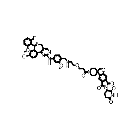 COc1cc(Nc2ncc3c(n2)-c2ccc(Cl)cc2C(c2c(F)cccc2OC)=NC3)ccc1CNCCOCCC(=O)N1CCC2(CC1)COc1cc3c(cc12)C(=O)N(C1CCC(=O)NC1=O)C3=O